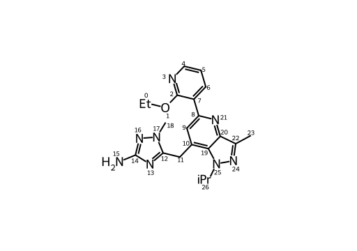 CCOc1ncccc1-c1cc(Cc2nc(N)nn2C)c2c(n1)c(C)nn2C(C)C